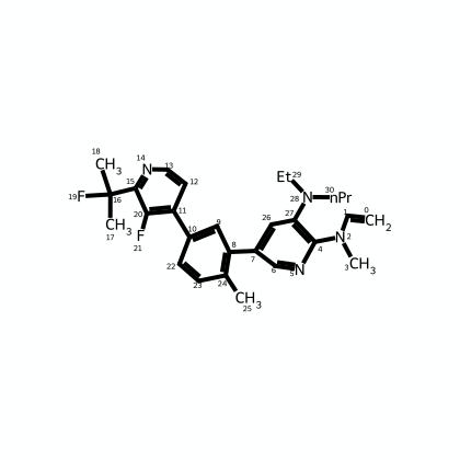 C=CN(C)c1ncc(-c2cc(-c3ccnc(C(C)(C)F)c3F)ccc2C)cc1N(CC)CCC